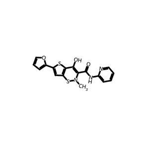 CN1Sc2cc(-c3ccco3)sc2C(O)=C1C(=O)Nc1ccccn1